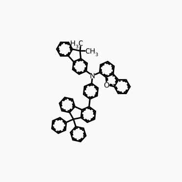 CC1(C)c2ccccc2-c2ccc(N(c3ccc(-c4cccc5c4-c4ccccc4C5(c4ccccc4)c4ccccc4)cc3)c3cccc4c3oc3ccccc34)cc21